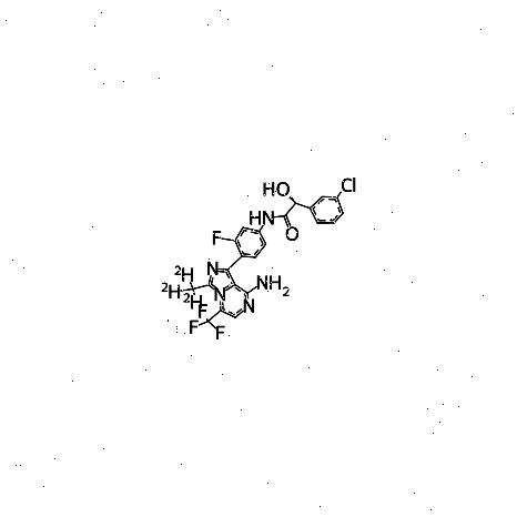 [2H]C([2H])([2H])c1nc(-c2ccc(NC(=O)[C@@H](O)c3cccc(Cl)c3)cc2F)c2c(N)ncc(C(F)(F)F)n12